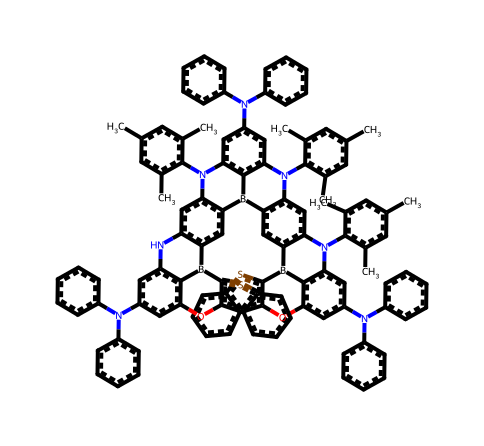 Cc1cc(C)c(N2c3cc4c(cc3B3c5sc6ccccc6c5Oc5cc(N(c6ccccc6)c6ccccc6)cc2c53)B2c3cc5c(cc3N(c3c(C)cc(C)cc3C)c3cc(N(c6ccccc6)c6ccccc6)cc(c32)N4c2c(C)cc(C)cc2C)Nc2cc(N(c3ccccc3)c3ccccc3)cc3c2B5c2sc4ccccc4c2O3)c(C)c1